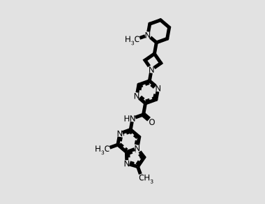 Cc1cn2cc(NC(=O)c3cnc(N4CC(C5CCCCN5C)C4)cn3)nc(C)c2n1